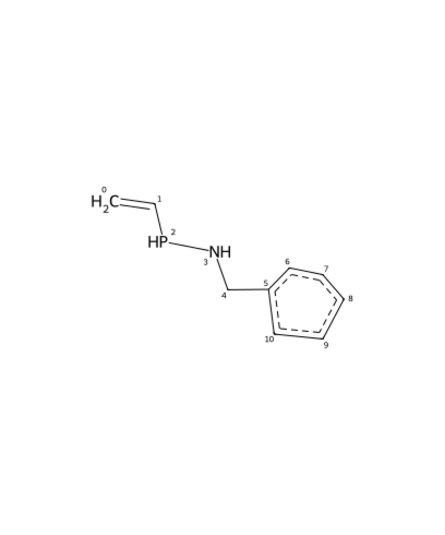 C=CPNCc1ccccc1